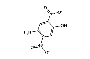 Nc1cc([N+](=O)[O-])c(O)cc1[N+](=O)[O-]